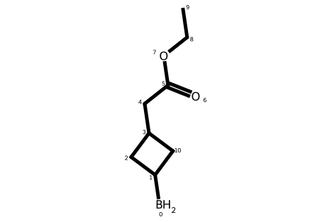 BC1CC(CC(=O)OCC)C1